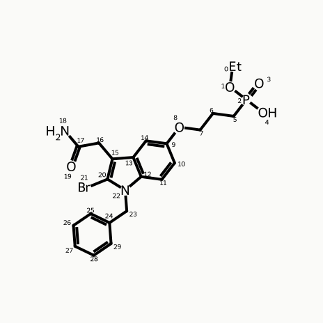 CCOP(=O)(O)CCCOc1ccc2c(c1)c(CC(N)=O)c(Br)n2Cc1ccccc1